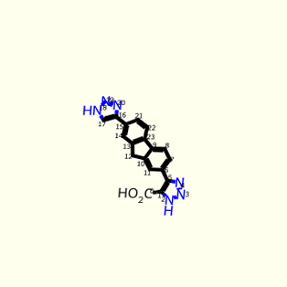 O=C(O)c1[nH]nnc1-c1ccc2c(c1)Cc1cc(-c3c[nH]nn3)ccc1-2